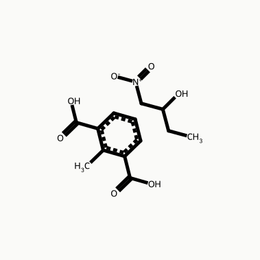 CCC(O)C[N+](=O)[O-].Cc1c(C(=O)O)cccc1C(=O)O